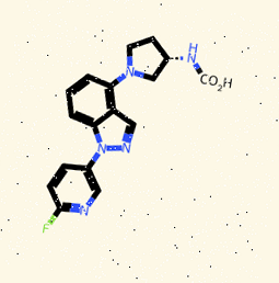 O=C(O)N[C@H]1CCN(c2cccc3c2cnn3-c2ccc(F)nc2)C1